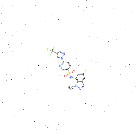 Cn1ncc2cc(F)cc(NS(=O)(=O)c3ccc(-n4cc(C(F)(F)F)cn4)nc3)c21